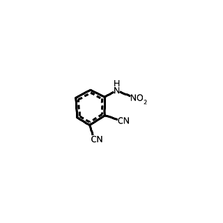 N#Cc1cccc(N[N+](=O)[O-])c1C#N